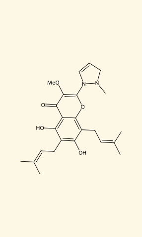 COc1c(N2C=CCN2C)oc2c(CC=C(C)C)c(O)c(CC=C(C)C)c(O)c2c1=O